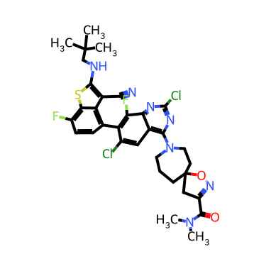 CN(C)C(=O)C1=NOC2(CCCN(c3nc(Cl)nc4c(F)c(-c5ccc(F)c6sc(NCC(C)(C)C)c(C#N)c56)c(Cl)cc34)CC2)C1